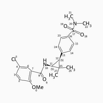 COc1ccc(Cl)cc1C(=O)N[C@H]1[C@@H](c2ccc(S(=O)(=O)N(C)C)cc2)C1(C)C